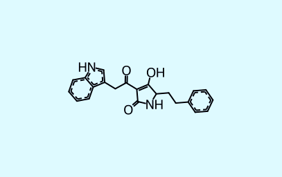 O=C(Cc1c[nH]c2ccccc12)C1=C(O)C(CCc2ccccc2)NC1=O